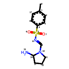 Cc1ccc(S(=O)(=O)N=CN2CCCC2N)cc1